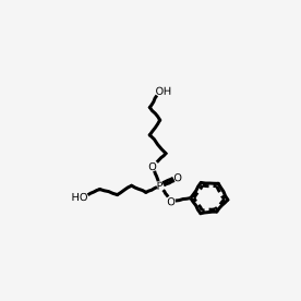 O=P(CCCCO)(OCCCCO)Oc1ccccc1